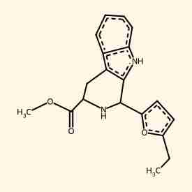 CCc1ccc(C2NC(C(=O)OC)Cc3c2[nH]c2ccccc32)o1